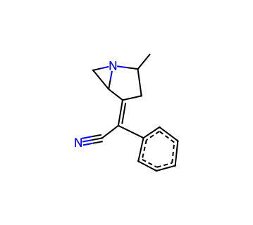 CC1C/C(=C(/C#N)c2ccccc2)C2CN12